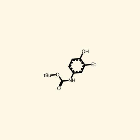 CCc1cc(NC(=O)OC(C)(C)C)ccc1O